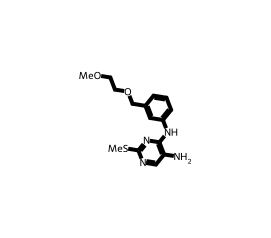 COCCOCc1cccc(Nc2nc(SC)ncc2N)c1